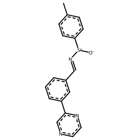 Cc1ccc([S+]([O-])N=Cc2cccc(-c3cnccn3)c2)cc1